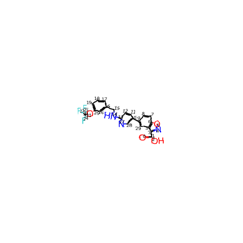 O=C(O)c1noc2ccc(-c3ccc(NCc4cccc(OC(F)(F)F)c4)nc3)cc12